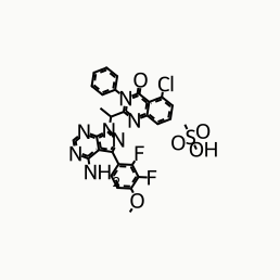 COc1ccc(-c2nn(C(C)c3nc4cccc(Cl)c4c(=O)n3-c3ccccc3)c3ncnc(N)c23)c(F)c1F.CS(=O)(=O)O